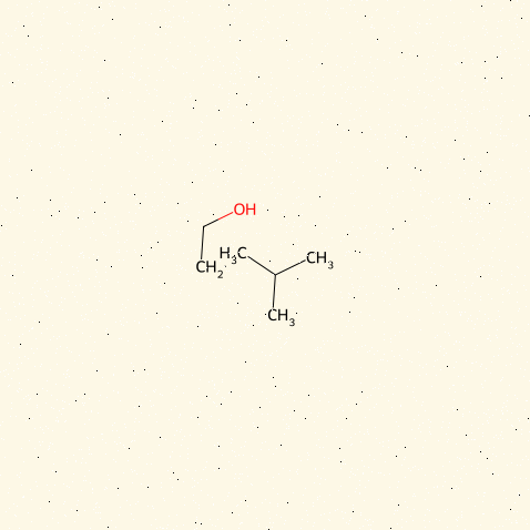 CC(C)C.[CH2]CO